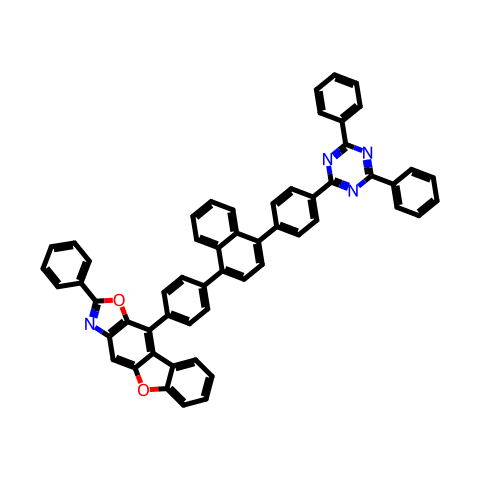 c1ccc(-c2nc(-c3ccccc3)nc(-c3ccc(-c4ccc(-c5ccc(-c6c7oc(-c8ccccc8)nc7cc7oc8ccccc8c67)cc5)c5ccccc45)cc3)n2)cc1